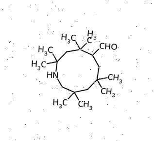 CC1(C)CNC(C)(C)CC(C)(C)C(C=O)CC(C)(C)C1